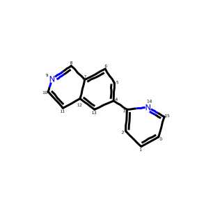 c1ccc(-c2ccc3cnccc3c2)nc1